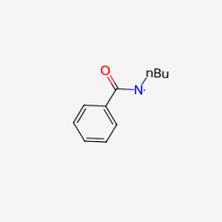 CCCC[N]C(=O)c1ccccc1